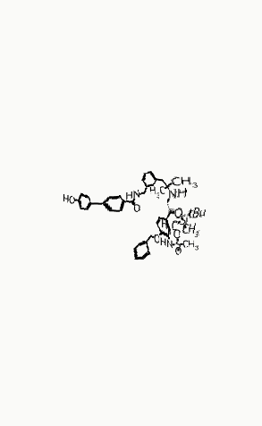 CC(C)(Cc1cccc(CNC(=O)c2ccc(-c3ccc(O)cc3)cc2)c1)NC[C@H](O[Si](C)(C)C(C)(C)C)c1ccc(OCc2ccccc2)c(NS(C)(=O)=O)c1